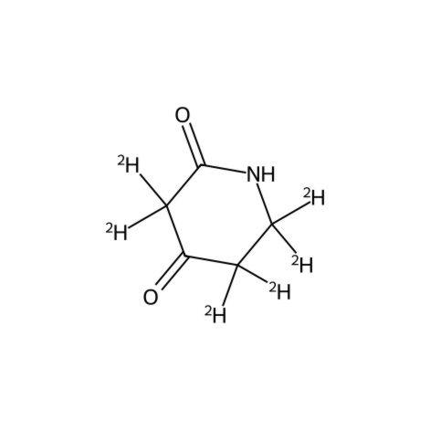 [2H]C1([2H])C(=O)NC([2H])([2H])C([2H])([2H])C1=O